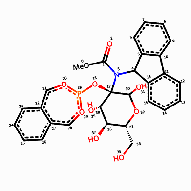 COC(=O)N(C1c2ccccc2-c2ccccc21)[C@]1(Op2occ3ccccc3co2)C(O)O[C@H](CO)[C@@H](O)[C@@H]1O